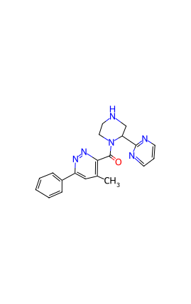 Cc1cc(-c2ccccc2)nnc1C(=O)N1CCNCC1c1ncccn1